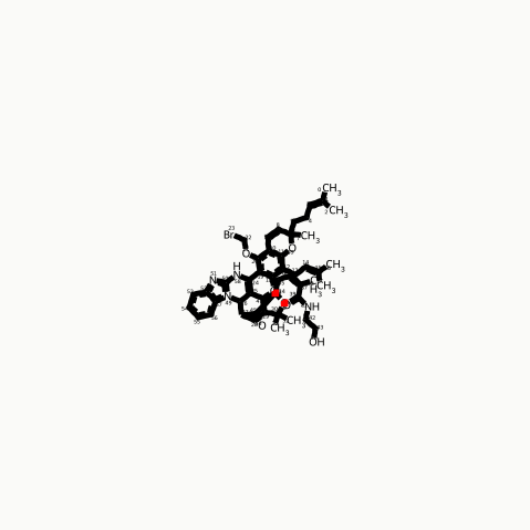 CC(C)=CCCC1(C)C=Cc2c(c(CC=C(C)C)c3c(c2OCBr)C2=C4C(C5CC6C(C)(C)OC(C/C=C(/C)C(=O)NCCO)(C5=O)C46O3)n3c(nc4ccccc43)N2)O1